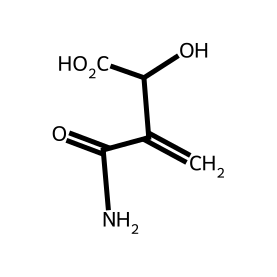 C=C(C(N)=O)C(O)C(=O)O